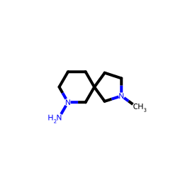 CN1CCC2(CCCN(N)C2)C1